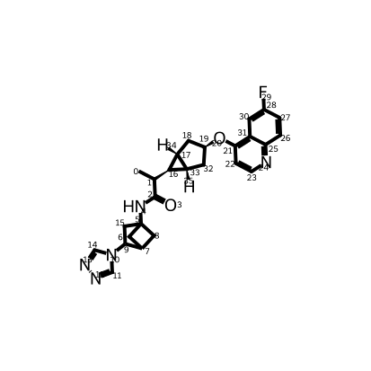 CC(C(=O)NC12CC(C1)C(n1cnnc1)C2)[C@H]1[C@@H]2C[C@@H](Oc3ccnc4ccc(F)cc34)C[C@@H]21